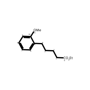 CCOC(=O)CCCCc1ccccc1OC